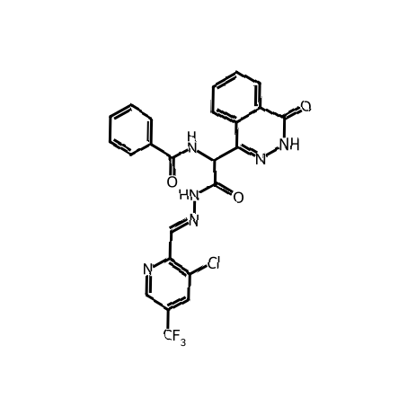 O=C(NC(C(=O)N/N=C/c1ncc(C(F)(F)F)cc1Cl)c1n[nH]c(=O)c2ccccc12)c1ccccc1